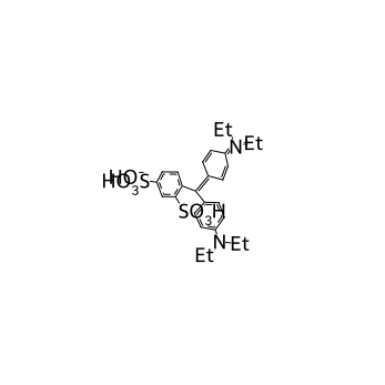 CCN(CC)c1ccc(C(=C2C=CC(=[N+](CC)CC)C=C2)c2ccc(S(=O)(=O)O)cc2S(=O)(=O)O)cc1.[OH-]